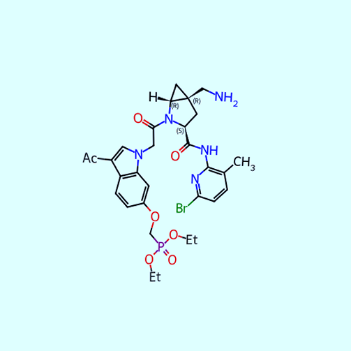 CCOP(=O)(COc1ccc2c(C(C)=O)cn(CC(=O)N3[C@H](C(=O)Nc4nc(Br)ccc4C)C[C@@]4(CN)C[C@@H]34)c2c1)OCC